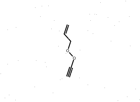 C#COOCC=C